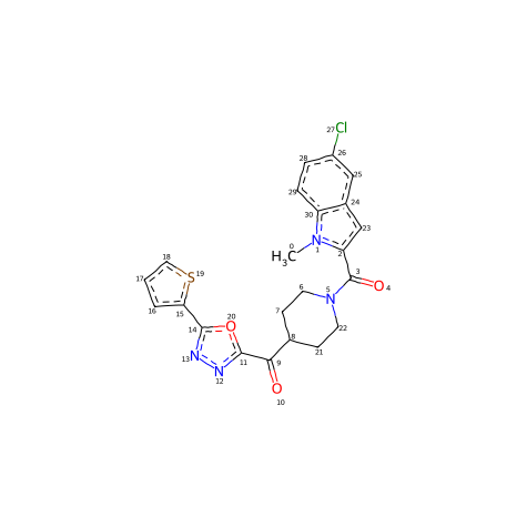 Cn1c(C(=O)N2CCC(C(=O)c3nnc(-c4cccs4)o3)CC2)cc2cc(Cl)ccc21